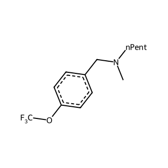 CCCCCN(C)Cc1ccc(OC(F)(F)F)cc1